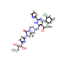 COC(=O)C1=C(CN2CCN3C(=O)N(c4nc(C(O)C(O)C(=O)O)cs4)C[C@@H]3C2)NC(c2nccs2)=N[C@H]1c1ccc(F)cc1Cl